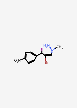 CN(N)/C=C(/Br)C(I)c1ccc([N+](=O)[O-])cc1